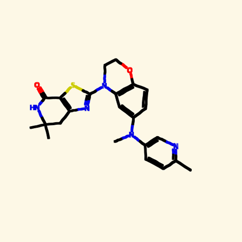 Cc1ccc(N(C)c2ccc3c(c2)N(c2nc4c(s2)C(=O)NC(C)(C)C4)CCO3)cn1